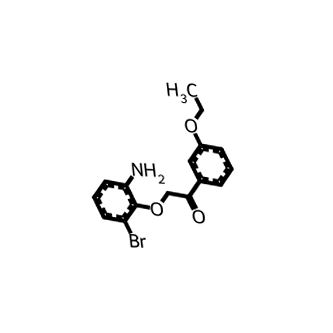 CCOc1cccc(C(=O)COc2c(N)cccc2Br)c1